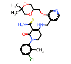 Cc1c(Cl)cccc1N1CCC(NCc2ccncc2OCC2COC(C)(C)CO2)=C(C(N)=S)C1=O